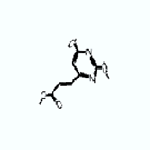 COC(=O)/C=C/c1cc(Cl)nc(OC)n1